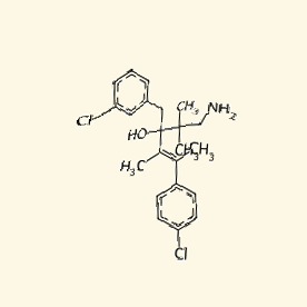 CC(=C(C)C(O)(Cc1cccc(Cl)c1)C(C)(C)CN)c1ccc(Cl)cc1